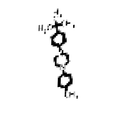 Cc1ccc(N2CCN(c3ccc(C(C)(C)C)cc3)CC2)cc1